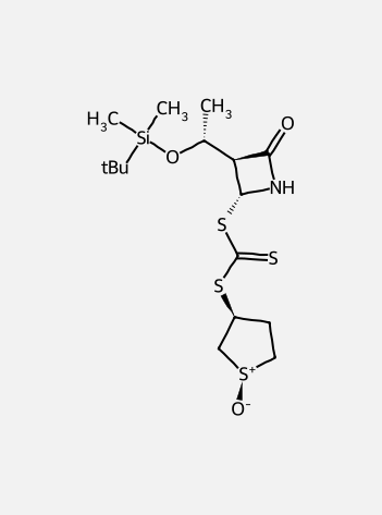 C[C@@H](O[Si](C)(C)C(C)(C)C)[C@H]1C(=O)N[C@@H]1SC(=S)S[C@H]1CC[S@@+]([O-])C1